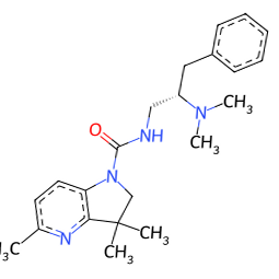 Cc1ccc2c(n1)C(C)(C)CN2C(=O)NC[C@H](Cc1ccccc1)N(C)C